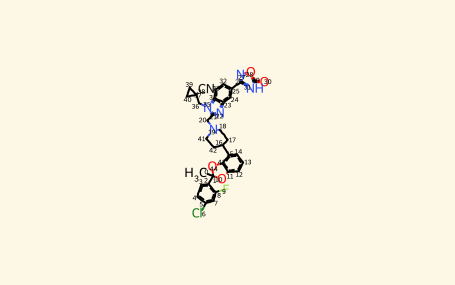 CC1(c2ccc(Cl)cc2F)Oc2cccc(C3CCN(Cc4nc5cc(-c6noc(=O)[nH]6)ccc5n4CC4(C#N)CC4)CC3)c2O1